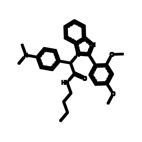 CCCCNC(=O)C(c1ccc(N(C)C)cc1)n1c(-c2ccc(OC)cc2OC)nc2ccccc21